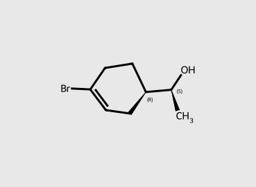 C[C@H](O)[C@H]1CC=C(Br)CC1